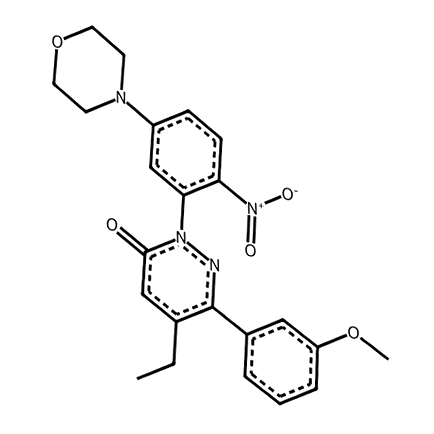 CCc1cc(=O)n(-c2cc(N3CCOCC3)ccc2[N+](=O)[O-])nc1-c1cccc(OC)c1